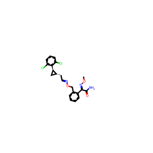 CON=C(C(N)=O)c1ccccc1CON=CC[C@@H]1C[C@H]1c1c(Cl)cccc1Cl